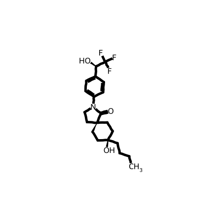 CCCC[C@]1(O)CC[C@]2(CCN(c3ccc([C@@H](O)C(F)(F)F)cc3)C2=O)CC1